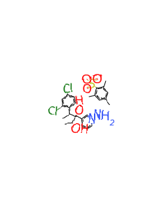 CC(O)C(O)(c1ccc[n+](N)c1)C(C)c1ccc(Cl)cc1Cl.Cc1cc(C)c(S(=O)(=O)[O-])c(C)c1